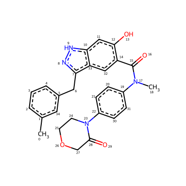 Cc1cccc(Cc2n[nH]c3cc(O)c(C(=O)N(C)c4ccc(N5CCOCC5=O)cc4)cc23)c1